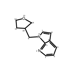 c1cnc2c(c1)ccn2CC1CCOC1